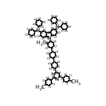 Cc1ccc(-c2cc(-c3ccc(-c4ccc(-c5ccc(-n6c7ccc(N(c8ccccc8)c8ccccc8)cc7c7cc(N(c8ccccc8)c8ccccc8)ccc76)c(C)c5)cc4)cc3)nc(-c3ccc(C)cc3)n2)cc1